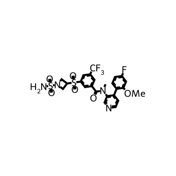 COc1cc(F)ccc1-c1ccncc1N(C)C(=O)c1cc(C(F)(F)F)cc(S(=O)(=O)C2CN(S(N)(=O)=O)C2)c1